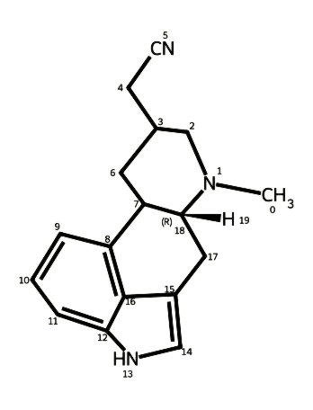 CN1CC(CC#N)CC2c3cccc4[nH]cc(c34)C[C@H]21